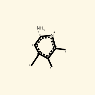 Cc1ccnc(C)c1C.N